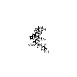 CCCCCCCCCC[C@@H](OC(=O)CNC(=O)[C@@H](C)CO)[C@@H](C)C(=O)N(C)[C@@H](CC(C)C)C(=O)N[C@@H](CC1CCC1)C(=O)N[C@@H](CO)C(N)=O